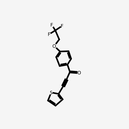 O=C(C#Cc1cccs1)c1ccc(OCC(F)(F)F)cc1